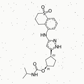 CC(C)NC(=O)O[C@@H]1CC[C@H](c2cc(Nc3cccc4c3CCCS4(=O)=O)n[nH]2)C1